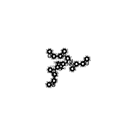 CC1(C)c2cc(-c3nc(-n4c5ccccc5c5cc(-c6ccc7oc8ccccc8c7c6)ccc54)nc4ccc(-n5c6ccccc6c6cc(-c7ccc8oc9ccccc9c8c7)ccc65)cc34)cc3c2-c2c1cc(-n1c4ccccc4c4cc(-c5ccc6oc7ccccc7c6c5)ccc41)cc2C3(C)C